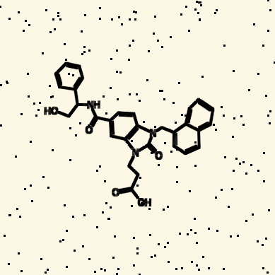 O=C(O)CCn1c(=O)n(Cc2cccc3ccccc23)c2ccc(C(=O)NC(CO)c3ccccc3)cc21